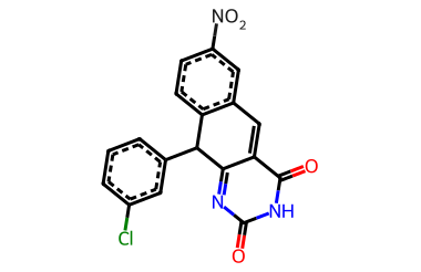 O=C1N=C2C(=Cc3cc([N+](=O)[O-])ccc3C2c2cccc(Cl)c2)C(=O)N1